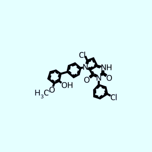 COc1cccc(-c2ccc(-n3c(Cl)cc4[nH]c(=O)n(-c5cccc(Cl)c5)c(=O)c43)cc2)c1O